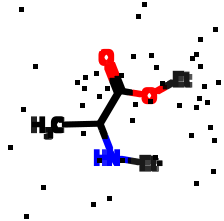 C[CH]NC(C)C(=O)OCC